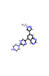 Cn1cc(-c2cc(-c3cnc(N4CCNCC4)cn3)c3cncnc3c2)cn1